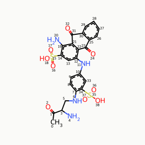 CC(=O)C(N)CNc1ccc(Nc2cc(S(=O)(=O)O)c(N)c3c2C(=O)c2ccccc2C3=O)cc1S(=O)(=O)O